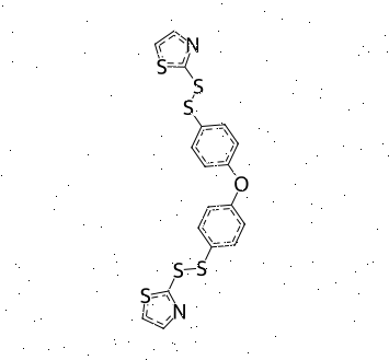 c1csc(SSc2ccc(Oc3ccc(SSc4nccs4)cc3)cc2)n1